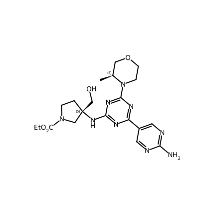 CCOC(=O)N1CC[C@](CO)(Nc2nc(-c3cnc(N)nc3)nc(N3CCOC[C@@H]3C)n2)C1